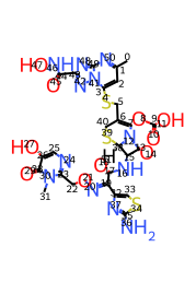 Cc1cc(SCC2=C(OC(=O)O)N3C(=O)[C@@H](NC(=O)/C(=N\OCc4ncc(O)c(=O)n4C)c4csc(N)n4)[C@H]3SC2)n2nc(C(=O)NO)nc2n1